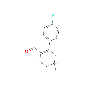 CC1(C)CCC(C=O)=C(c2ccc(F)cc2)C1